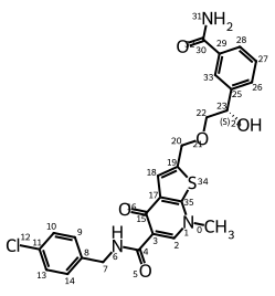 Cn1cc(C(=O)NCc2ccc(Cl)cc2)c(=O)c2cc(COC[C@@H](O)c3cccc(C(N)=O)c3)sc21